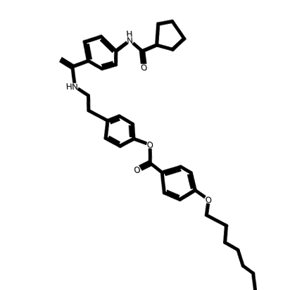 C=C(NCCc1ccc(OC(=O)c2ccc(OCCCCCCC)cc2)cc1)c1ccc(NC(=O)C2CCCC2)cc1